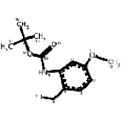 COc1ccc(CI)c(NC(=O)OC(C)(C)C)c1